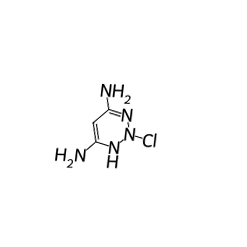 NC1=CC(N)=NN(Cl)N1